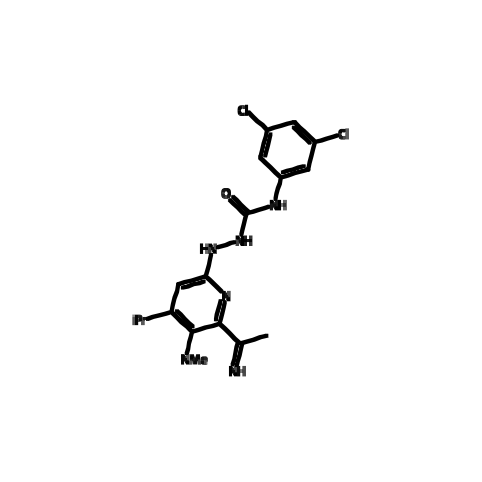 CNc1c(C(C)C)cc(NNC(=O)Nc2cc(Cl)cc(Cl)c2)nc1C(C)=N